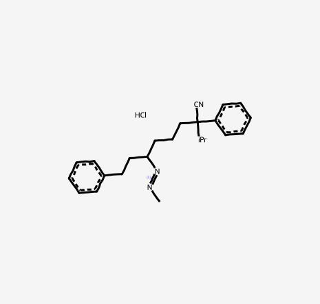 C/N=N/C(CCCC(C#N)(c1ccccc1)C(C)C)CCc1ccccc1.Cl